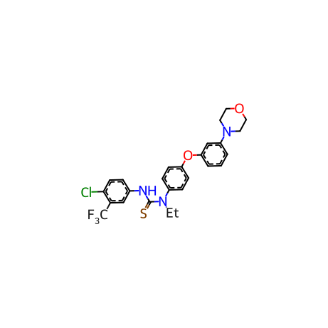 CCN(C(=S)Nc1ccc(Cl)c(C(F)(F)F)c1)c1ccc(Oc2cccc(N3CCOCC3)c2)cc1